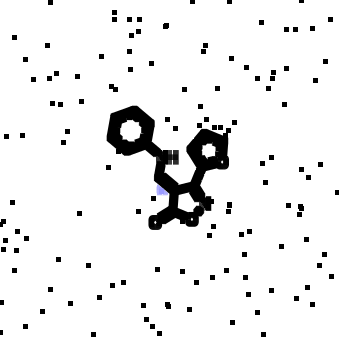 O=C1ON=C(c2ccco2)/C1=C\Nc1ccccc1